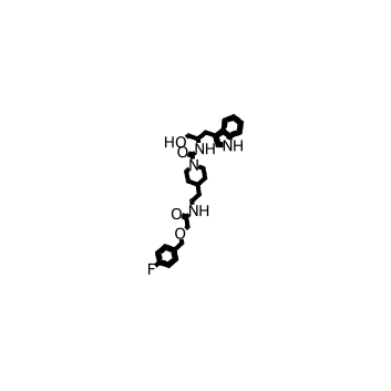 O=C(COCc1ccc(F)cc1)NCCC1CCN(C(=O)NC(CO)Cc2c[nH]c3ccccc23)CC1